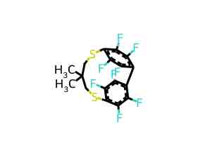 CC1(C)CSc2c(F)c(F)c(c(F)c2F)-c2c(F)c(F)c(c(F)c2F)SC1